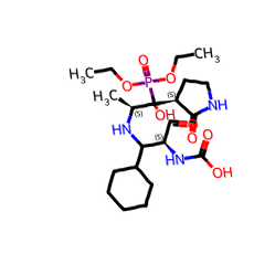 CCOP(=O)(OCC)C(O)([C@H](C)NC(C1CCCCC1)[C@@H](C=O)NC(=O)O)[C@H]1CCNC1=O